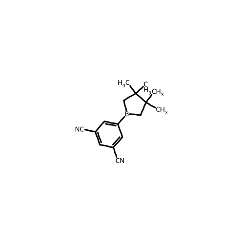 CC1(C)CB(c2cc(C#N)cc(C#N)c2)CC1(C)C